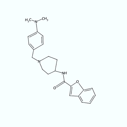 CN(C)c1ccc(CN2CCC(NC(=O)c3cc4ccccc4o3)CC2)cc1